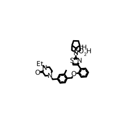 CCN1CCN(Cc2ccc(COc3ccccc3-c3csc(N4CC5CC[C@@H](C4)C5C(=O)O)n3)c(C)c2)CC1=O